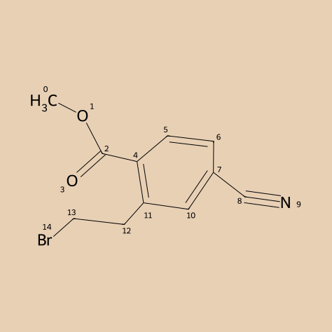 COC(=O)c1ccc(C#N)cc1CCBr